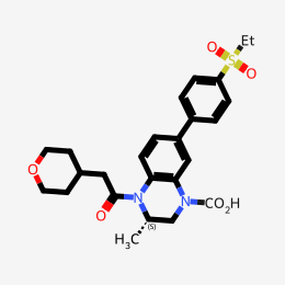 CCS(=O)(=O)c1ccc(-c2ccc3c(c2)N(C(=O)O)C[C@H](C)N3C(=O)CC2CCOCC2)cc1